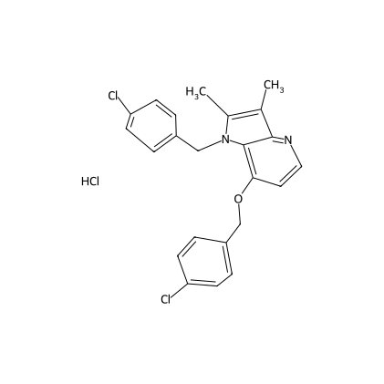 Cc1c(C)n(Cc2ccc(Cl)cc2)c2c(OCc3ccc(Cl)cc3)ccnc12.Cl